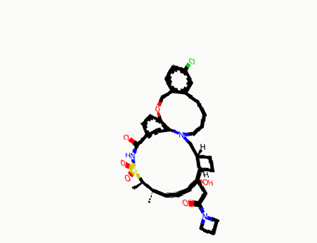 C[C@@H]1[C@@H](C)CCC[C@@](O)(CC(=O)N2CCC2)[C@@H]2CC[C@H]2CN2CCCCc3cc(Cl)ccc3COc3ccc(cc32)C(=O)NS1(=O)=O